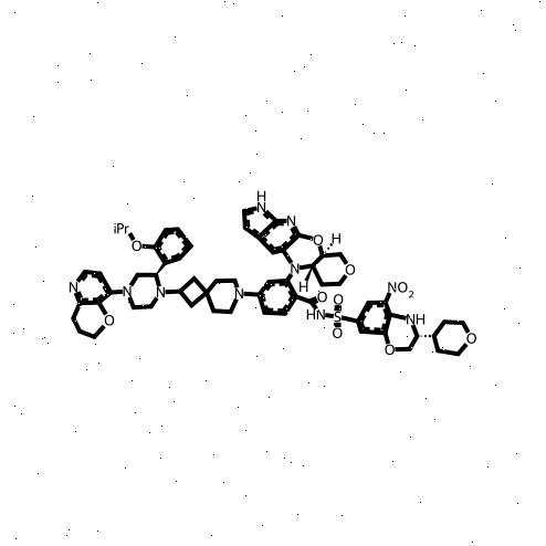 CC(C)Oc1ccccc1[C@@H]1CN(c2ccnc3c2OCCC3)CCN1C1CC2(CCN(c3ccc(C(=O)NS(=O)(=O)c4cc5c(c([N+](=O)[O-])c4)N[C@H](C4CCOCC4)CO5)c(N4c5cc6cc[nH]c6nc5O[C@H]5COCC[C@@H]54)c3)CC2)C1